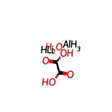 O.O=C(O)C(=O)O.[AlH3].[LiH]